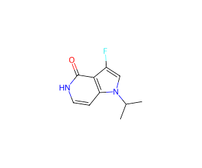 CC(C)n1cc(F)c2c(=O)[nH]ccc21